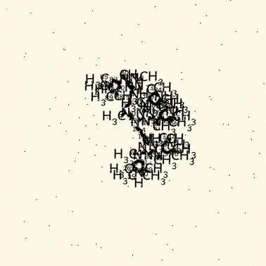 Cc1nc(NCCCN(C)CCN(CCCNc2nc(N(C)C3CC(C)(C)NC(C)(C)C3)nc(N(C)C3CC(C)(C)NC(C)(C)C3)n2)c2nc(N(C)C3CC(C)(C)NC(C)(C)C3)nc(N(C)C3CC(C)(C)NC(C)(C)C3)n2)nc(N(C)C2CC(C)(C)NC(C)(C)C2)n1